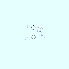 NC(=S)Nc1ccc(-c2nc(N)cc(C3(S(=O)(=O)c4ccc(F)cc4)CC3)n2)cc1